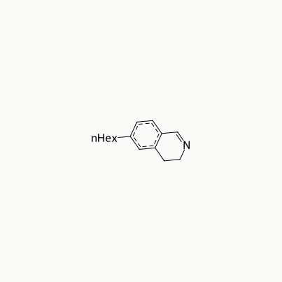 CCCCCCc1ccc2c(c1)CCN=C2